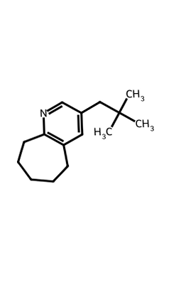 CC(C)(C)Cc1cnc2c(c1)CCCCC2